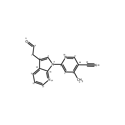 Cc1cc(-n2cc(CC=O)c3cccnc32)ncc1C#N